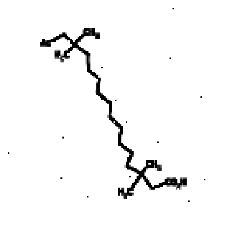 CC(=O)CC(C)(C)CCCCCCCCCCC(C)(C)CC(=O)O